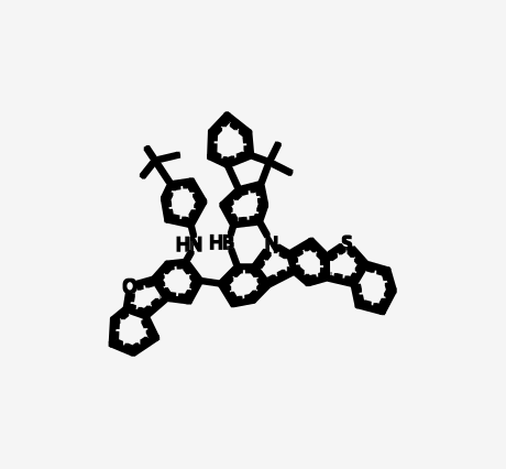 CC(C)(C)c1ccc(Nc2cc3oc4ccccc4c3cc2-c2ccc3c4cc5c(cc4n4c3c2Bc2cc3c(cc2-4)C(C)(C)c2ccccc2-3)sc2ccccc25)cc1